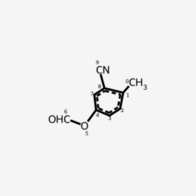 Cc1ccc(OC=O)cc1C#N